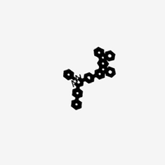 C1=C(C2=NC(c3ccccc3)=NC(c3ccc(-c4ccccc4)cc3)C2)CCC(c2ccc3c(c2)-c2cc4c(cc2C32CCCCC2)C2(CCCCC2)c2ccccc2-4)=C1